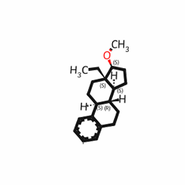 CC[C@]12CC[C@@H]3c4cc[c]cc4CC[C@H]3[C@@H]1CC[C@@H]2OC